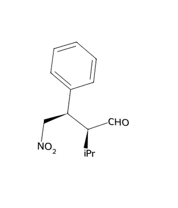 CC(C)[C@H](C=O)[C@@H](C[N+](=O)[O-])c1ccccc1